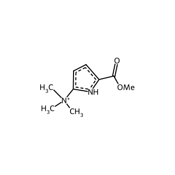 COC(=O)c1ccc([N+](C)(C)C)[nH]1